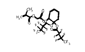 C=C(C)C(=O)OCC(=O)OC1CCCCC1(OC(=O)C(F)(F)C(F)(F)C(F)(F)F)OC(=O)C(F)(F)C(F)(F)C(F)(F)F